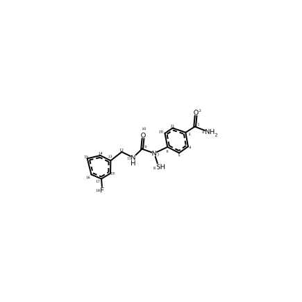 NC(=O)c1ccc(N(S)C(=O)NCc2cccc(F)c2)cc1